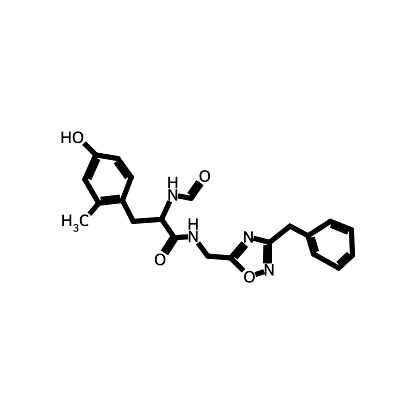 Cc1cc(O)ccc1CC(NC=O)C(=O)NCc1nc(Cc2ccccc2)no1